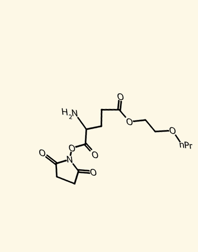 CCCOCCOC(=O)CCC(N)C(=O)ON1C(=O)CCC1=O